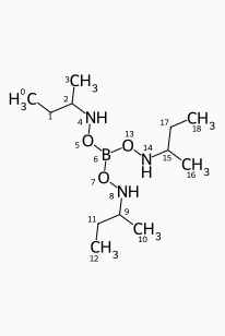 CCC(C)NOB(ONC(C)CC)ONC(C)CC